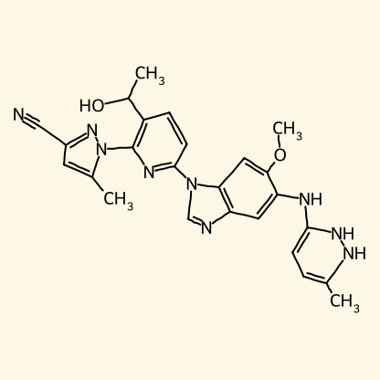 COc1cc2c(cc1NC1=CC=C(C)NN1)ncn2-c1ccc(C(C)O)c(-n2nc(C#N)cc2C)n1